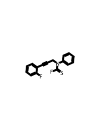 FC(=S)N(CC#Cc1ccccc1F)c1ccccc1